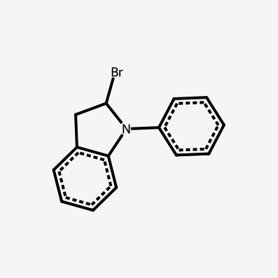 BrC1Cc2ccccc2N1c1ccccc1